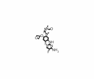 CN(C=O)/N=N\N(C)c1cc(Nc2ncc(F)c(N)n2)c(F)cc1OC1COC1